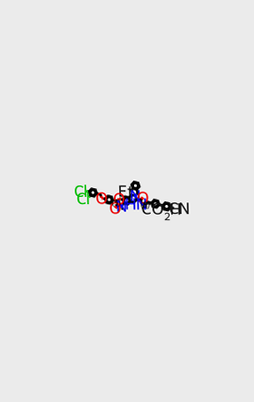 CCc1ccccc1CN1Cc2cc3c(cc2CC1C(=O)N[C@@H](Cc1ccc(-c2ccc(C#N)cc2)cc1)C(=O)O)N(C)C(=O)[C@H](c1ccc(OCc2ccc(Cl)c(Cl)c2)cc1)O3